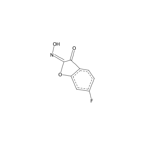 O=C1C(=NO)Oc2cc(F)ccc21